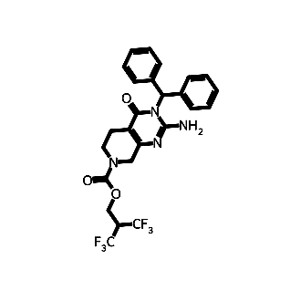 Nc1nc2c(c(=O)n1C(c1ccccc1)c1ccccc1)CCN(C(=O)OCC(C(F)(F)F)C(F)(F)F)C2